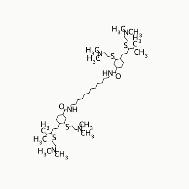 CC(C)C(CCC1CCC(C(=O)NCCCCCCCCCCCCNC(=O)C2CCC(CCC(SCCN(C)C)C(C)C)C(SCCN(C)C)C2)CC1SCCN(C)C)SCCN(C)C